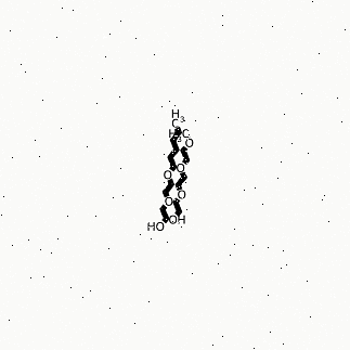 CCCCCCOCCOCCO.COCCOCCOCCO